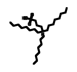 CCCCCCCC[PH](CCCCCCCC)(CCCCCCCC)CCCS(=O)(=O)O